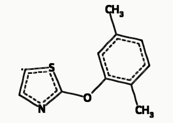 Cc1ccc(C)c(Oc2nc[c]s2)c1